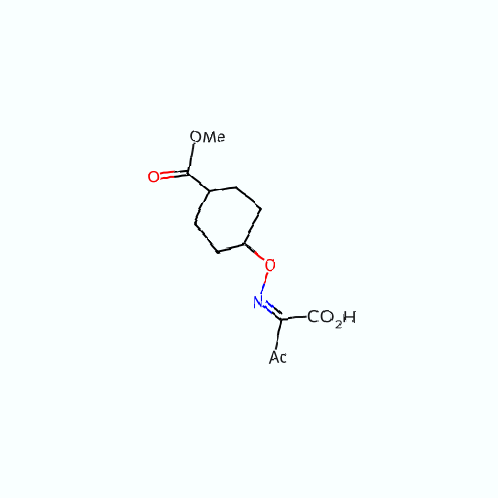 COC(=O)C1CCC(O/N=C(/C(C)=O)C(=O)O)CC1